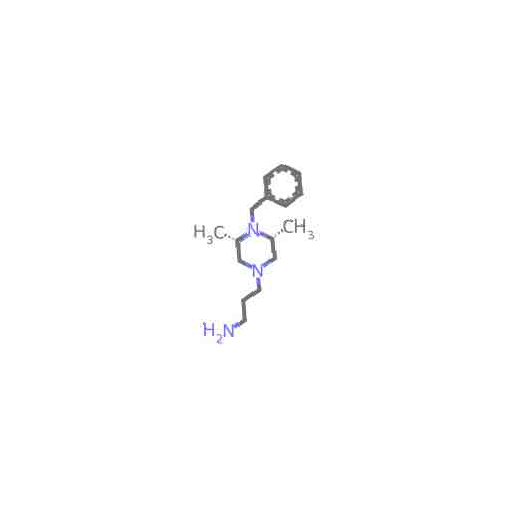 C[C@@H]1CN(CCCN)C[C@H](C)N1Cc1ccccc1